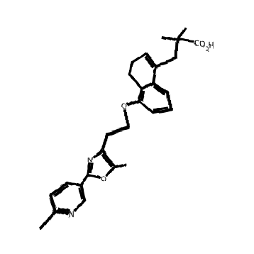 Cc1ccc(-c2nc(CCOc3cccc4c3CCC=C4CC(C)(C)C(=O)O)c(C)o2)cn1